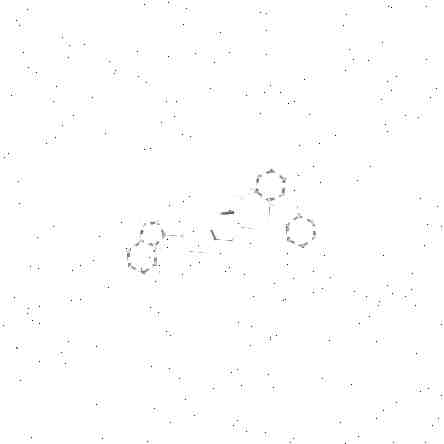 CN1C(=O)[C@H](CC(=O)N[C@@H](Cc2c[nH]c3ccccc23)C(=O)O)O[C@@H](c2ccccc2Cl)c2cc(Cl)ccc21